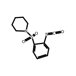 O=C=Nc1ccccc1S(=O)(=O)N1CCCCC1